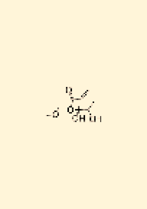 C=CC(=O)O.CC(O)CO.COC